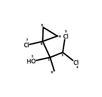 CC(O)(C(Cl)Cl)C1(Cl)CC1